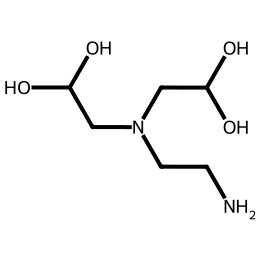 NCCN(CC(O)O)CC(O)O